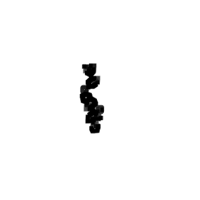 Cn1cc(-c2cc(Oc3ccc4nc(-c5cnc(N6CCCC6)n(C)c5=O)ccc4c3)ccn2)cn1